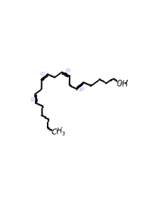 CCCCC/C=C\C/C=C\C/C=C\C/C=C/CCCCO